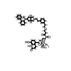 CCN(CCNC[C@H](O[Si](C)(C)C(C)(C)C)c1ccc(O)c2[nH]c(=O)ccc12)C(=O)CCOCCc1cccc(CCN2C[C@H]3CC(N(C(=O)O)c4ccccc4-c4ccccc4)C[C@H]3C2)c1